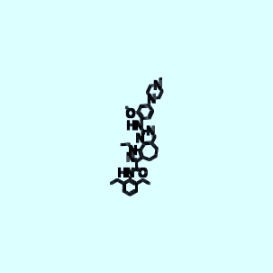 CCc1cccc(CC)c1NC(=O)c1nn(CC)c2c1CCCc1cnc(Nc3ccc(N4CCN(C)CC4)cc3OC)nc1-2